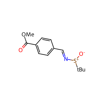 COC(=O)c1ccc(C=N[S+]([O-])C(C)(C)C)cc1